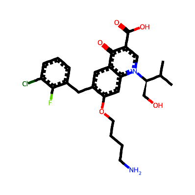 CC(C)[C@@H](CO)n1cc(C(=O)O)c(=O)c2cc(Cc3cccc(Cl)c3F)c(OCCCCN)cc21